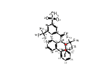 CS(=O)(=O)c1cc(C(=O)N(CC(F)(F)F)c2cnccc2-c2ccccc2OC(F)(F)F)cc(C(F)(F)F)c1